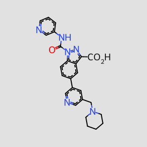 O=C(O)c1nn(C(=O)Nc2cccnc2)c2ccc(-c3cncc(CN4CCCCC4)c3)cc12